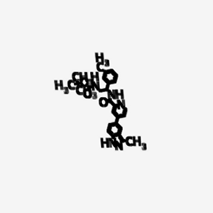 Cc1cccc(C(CNC(=O)OC(C)(C)C)NC(=O)c2cc(-c3ccc4[nH]nc(C)c4c3)ccn2)c1